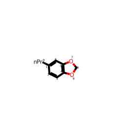 C[CH]Cc1ccc2c(c1)OCO2